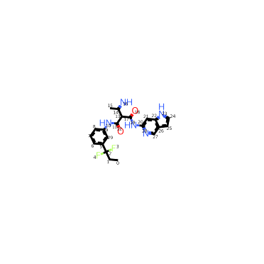 CCC(F)(F)c1cccc(NC(=O)C(C(C)=N)C(=O)Nc2cc3[nH]ccc3cn2)c1